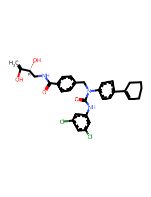 C=C(O)[C@H](O)CNC(=O)c1ccc(CN(C(=O)Nc2cc(Cl)cc(Cl)c2)c2ccc(C3=CCCCC3)cc2)cc1